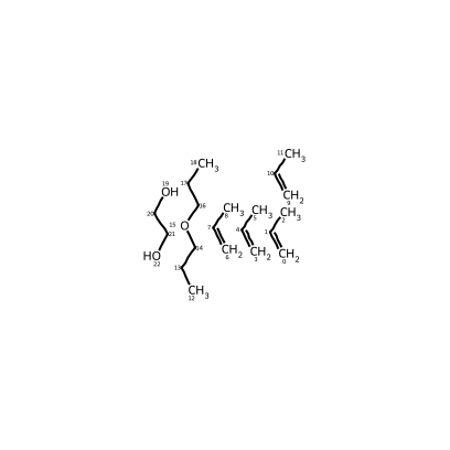 C=CC.C=CC.C=CC.C=CC.CCCOCCC.OCCO